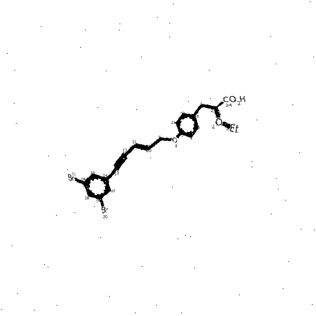 CCO[C@@H](Cc1ccc(OCC=CC#Cc2cc(Br)cc(Br)c2)cc1)C(=O)O